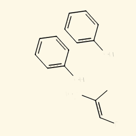 CCC=C(C)C(=O)O.Oc1ccccc1.Oc1ccccc1